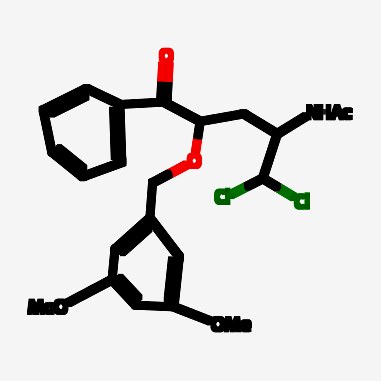 COc1cc(COC(CC(NC(C)=O)C(Cl)Cl)C(=O)c2ccccc2)cc(OC)c1